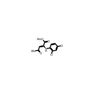 COC(=O)/C(=C/C(=O)C(C)(C)C)Nc1ccc(Cl)cc1Cl